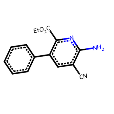 CCOC(=O)c1nc(N)c(C#N)cc1-c1ccccc1